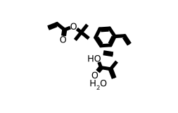 C=C.C=C(C)C(=O)O.C=CC(=O)OC(C)(C)C.C=Cc1ccccc1.O